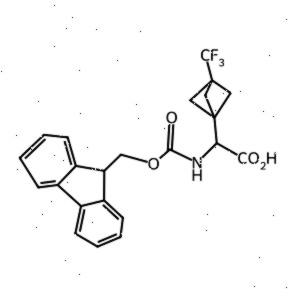 O=C(NC(C(=O)O)C12CC(C(F)(F)F)(C1)C2)OCC1c2ccccc2-c2ccccc21